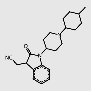 CC1CCC(N2CCC(N3C(=O)C(CC#N)c4ccccc43)CC2)CC1